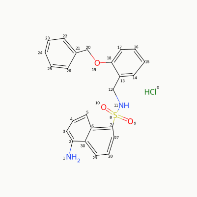 Cl.Nc1cccc2c(S(=O)(=O)NCc3ccccc3OCc3ccccc3)cccc12